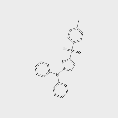 Cc1ccc(S(=O)(=O)c2ccc(N(c3ccccc3)c3ccccc3)s2)cc1